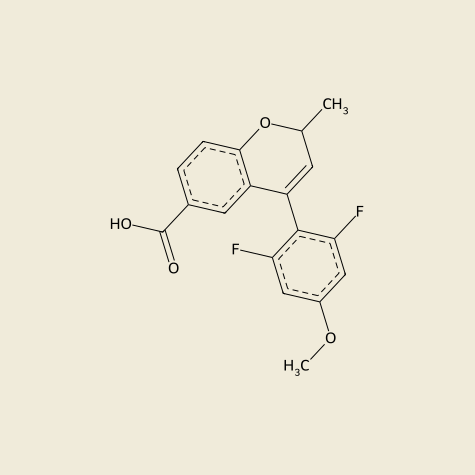 COc1cc(F)c(C2=CC(C)Oc3ccc(C(=O)O)cc32)c(F)c1